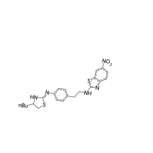 CCCCC1CS/C(=N\c2ccc(CCNc3nc4ccc([N+](=O)[O-])cc4s3)cc2)N1